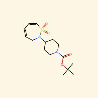 CC(C)(C)OC(=O)N1CCC(N2CC=CC=CS2(=O)=O)CC1